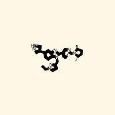 CCn1ccc(Cn2c(-c3ccc(N4[C@@H](C)CC[C@@H]4C)nc3)nc3cc(-c4cn[nH]c4)ccc32)n1